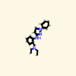 CCN(CC)Cc1ccccc1Nc1ccn(C2=CCCC=C2)n1